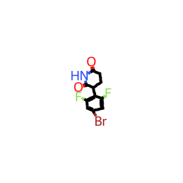 O=C1CCC(c2c(F)cc(Br)cc2F)C(=O)N1